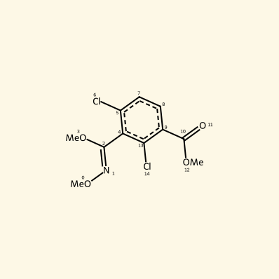 CON=C(OC)c1c(Cl)ccc(C(=O)OC)c1Cl